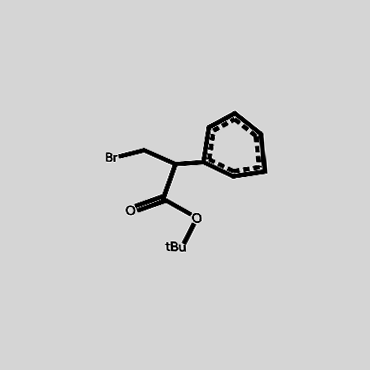 CC(C)(C)OC(=O)C(CBr)c1ccccc1